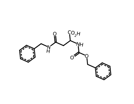 O=C(CC(NC(=O)OCc1ccccc1)C(=O)O)NCc1ccccc1